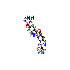 O=C(Nc1cc2cc(-c3cnco3)ncc2cn1)c1ccc(OC2CCNCC2)cc1